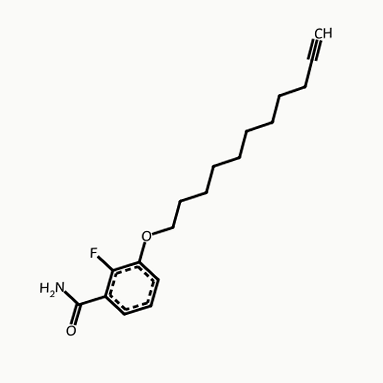 C#CCCCCCCCCCOc1cccc(C(N)=O)c1F